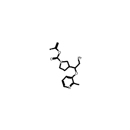 C=C(C)OC(=O)N1CCC(C(CC(C)C)Oc2cccnc2C)C1